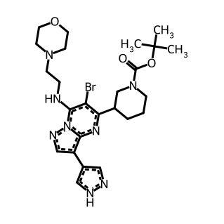 CC(C)(C)OC(=O)N1CCCC(c2nc3c(-c4cn[nH]c4)cnn3c(NCCN3CCOCC3)c2Br)C1